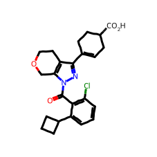 O=C(O)C1CC=C(c2nn(C(=O)c3c(Cl)cccc3C3CCC3)c3c2CCOC3)CC1